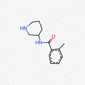 Cc1ccccc1C(=O)NC1CCCNC1